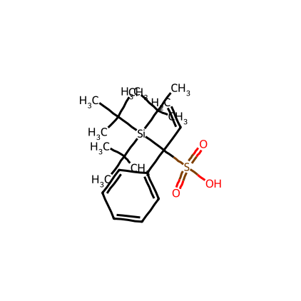 C=CC(c1ccccc1)([Si](C(C)(C)C)(C(C)(C)C)C(C)(C)C)S(=O)(=O)O